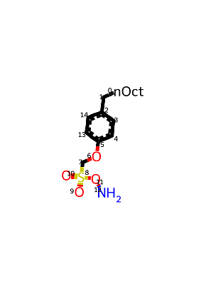 CCCCCCCCCc1ccc(OCS(=O)(=O)ON)cc1